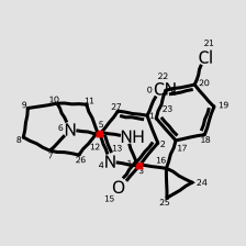 N#Cc1ccnc(N2C3CCC2CC(NC(=O)C2(c4ccc(Cl)cc4)CC2)C3)c1